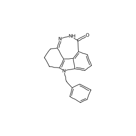 O=C1NN=C2CCCc3c2c2c1cccc2n3Cc1ccccc1